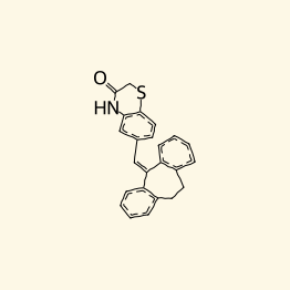 O=C1CSc2ccc(C=C3c4ccccc4CCc4ccccc43)cc2N1